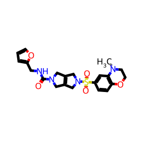 CN1CCOc2ccc(S(=O)(=O)N3CC4=C(CN(C(=O)NCc5ccco5)C4)C3)cc21